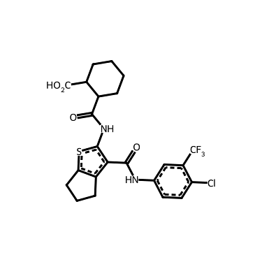 O=C(Nc1ccc(Cl)c(C(F)(F)F)c1)c1c(NC(=O)C2CCCCC2C(=O)O)sc2c1CCC2